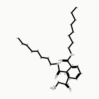 CCCCCCCCOC(=O)c1cccc(C(=O)CN)c1C(=O)OCCCCCCCC